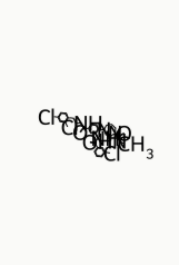 CNC(=O)N1CCCN(c2ccc(C(=O)NCCc3ccc(Cl)cc3Cl)cc2NC(=O)c2cccc(Cl)c2)CC1